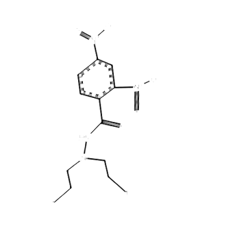 O=C(NN(CCI)CCI)c1ccc([N+](=O)[O-])cc1[N+](=O)[O-]